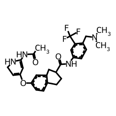 CC(=O)NC1=CC(Oc2ccc3c(c2)CC(C(=O)Nc2ccc(CN(C)C)c(C(F)(F)F)c2)CC3)=CCN1